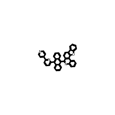 c1cc(-c2ccncc2)nc(-c2c3ccccc3c(-c3nc4ccccc4c4c3ccc3c5ccccc5oc34)c3ccccc23)c1